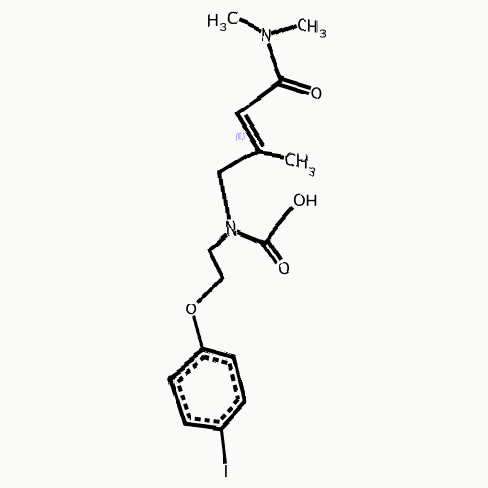 C/C(=C\C(=O)N(C)C)CN(CCOc1ccc(I)cc1)C(=O)O